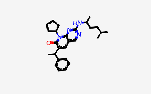 CC(C)CCC(C)Nc1ncc2cc(C(C)c3ccccc3)c(=O)n(C3CCCC3)c2n1